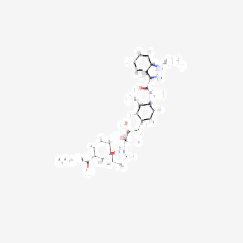 COC(=O)C1CCC(OC(F)(C(=O)Cc2ccc(NC(=O)c3nn(C)c4ccccc34)c(Cl)c2)N2CCCC2)CC1